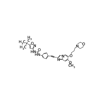 COc1cc2nc(C#Cc3ccc(NC(=O)Nc4cc(C(C)(C)C)on4)cc3)cn2cc1OCCCN1CCOCC1